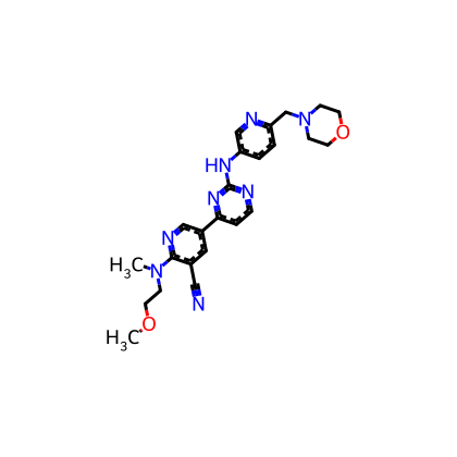 COCCN(C)c1ncc(-c2ccnc(Nc3ccc(CN4CCOCC4)nc3)n2)cc1C#N